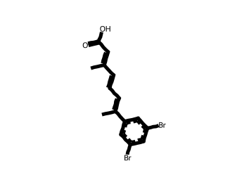 CC(/C=C/C=C(\C)c1cc(Br)cc(Br)c1)=C\C(=O)O